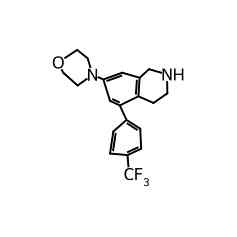 FC(F)(F)c1ccc(-c2cc(N3CCOCC3)cc3c2CCNC3)cc1